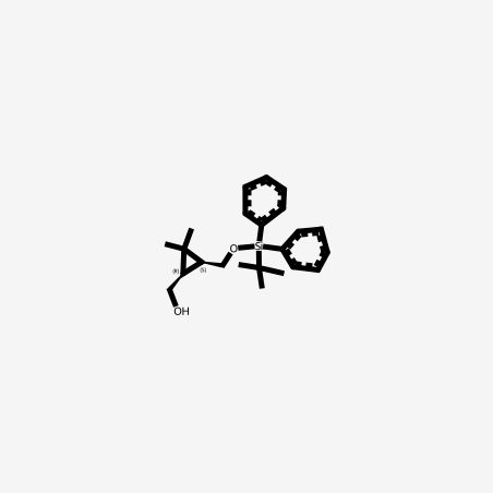 CC1(C)[C@H](CO)[C@@H]1CO[Si](c1ccccc1)(c1ccccc1)C(C)(C)C